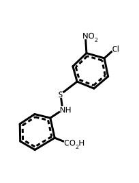 O=C(O)c1ccccc1NSc1ccc(Cl)c([N+](=O)[O-])c1